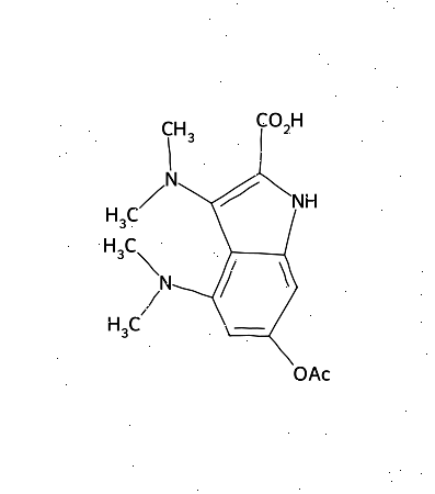 CC(=O)Oc1cc(N(C)C)c2c(N(C)C)c(C(=O)O)[nH]c2c1